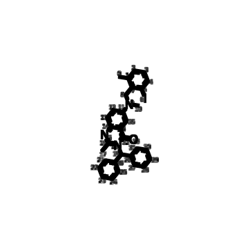 Cc1cccc(I)c1CN(C)c1ccc2nc(C)n(C(c3ccccc3)c3ccccc3)c(=O)c2c1